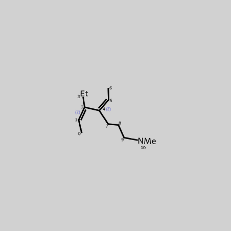 C/C=C(CC)\C(=C/C)CCCNC